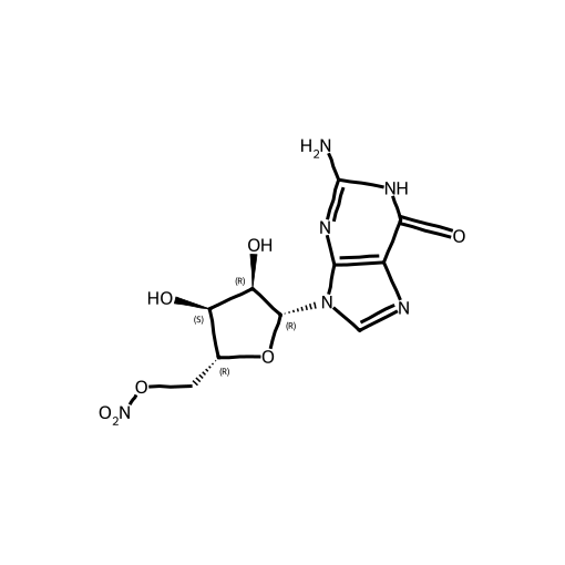 Nc1nc2c(ncn2[C@@H]2O[C@H](CO[N+](=O)[O-])[C@@H](O)[C@H]2O)c(=O)[nH]1